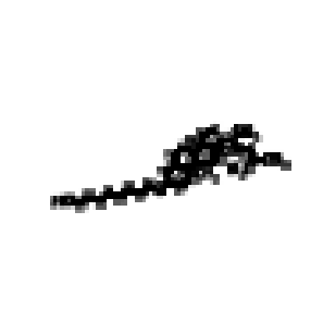 CC(C)CC[C@@H](C)[C@H]1CCC2[C@@H]3CC=C4C[C@@H](OCCCCCCCCO)CC[C@]4(C)C3CC[C@@]21C